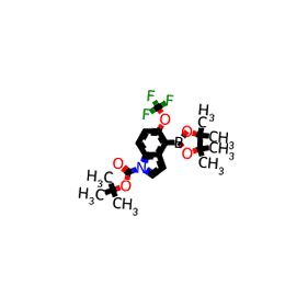 CC(C)(C)OC(=O)n1ccc2c(B3OC(C)(C)C(C)(C)O3)c(OC(F)(F)F)ccc21